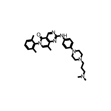 Cc1cccc(C)c1-n1cc(C)c2nc(Nc3ccc(N4CCN(CCCN(C)C)CC4)cc3)ncc2c1=O